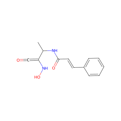 CC(NC(=O)C=Cc1ccccc1)C(=C=O)NO